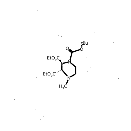 CCOC(=O)[C@@H]1[C@@H](C(=O)OCC)N(C(=O)OC(C)(C)C)CCN1C